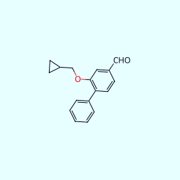 O=Cc1ccc(-c2ccccc2)c(OCC2CC2)c1